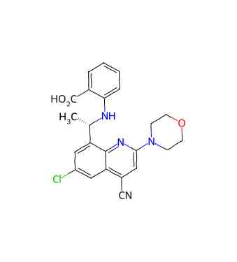 C[C@H](Nc1ccccc1C(=O)O)c1cc(Cl)cc2c(C#N)cc(N3CCOCC3)nc12